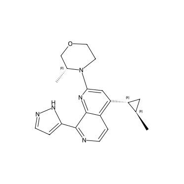 C[C@@H]1C[C@H]1c1cc(N2CCOC[C@H]2C)nc2c(-c3ccn[nH]3)nccc12